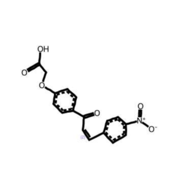 O=C(O)COc1ccc(C(=O)/C=C\c2ccc([N+](=O)[O-])cc2)cc1